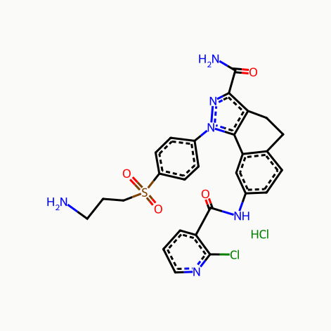 Cl.NCCCS(=O)(=O)c1ccc(-n2nc(C(N)=O)c3c2-c2cc(NC(=O)c4cccnc4Cl)ccc2CC3)cc1